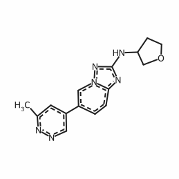 Cc1cc(-c2ccc3nc(NC4CCOC4)nn3c2)cnn1